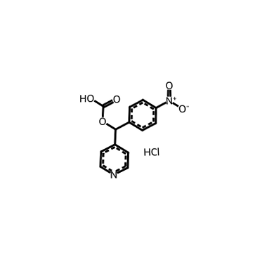 Cl.O=C(O)OC(c1ccncc1)c1ccc([N+](=O)[O-])cc1